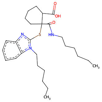 CCCCCCNC(=O)C1(Sc2nc3ccccc3n2CCCCCC)CCCCC1C(=O)O